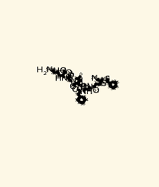 CC(C)CC(NC(=O)C(Cc1ccccc1)NC(=O)CNC(=O)CCC(C)(C#N)SC(=S)c1ccccc1)C(=O)NCC(=O)NC(CCCCN)C(=O)O